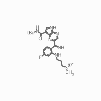 C[S+]([O-])CCCNc1cc(F)ccc1C(=N)c1cnc2[nH]cc(C(=O)NC(C)(C)C)c2n1